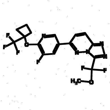 COC(F)(F)c1nnc2ccc(-c3cnc(OC4(C(F)(F)F)CCC4)c(F)c3)nn12